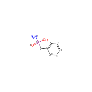 NP(=O)(O)Cc1ccccc1